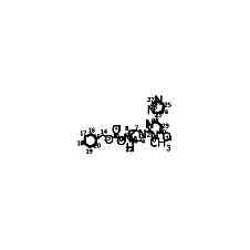 Cn1c(N2C[C@@H]3CC2CN3OC(=O)OCc2ccccc2)nc(-c2ccncn2)cc1=O